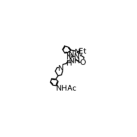 CCN1C2=NC(NCCCN3CCC(c4cccc(NC(C)=O)c4)CC3)(Nc3ccccc32)[N+]12CCOCC2